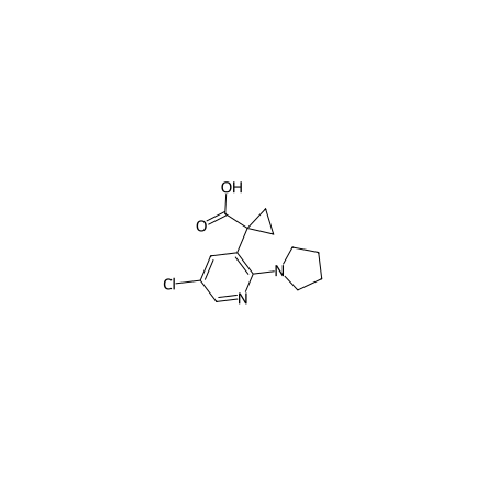 O=C(O)C1(c2cc(Cl)cnc2N2CCCC2)CC1